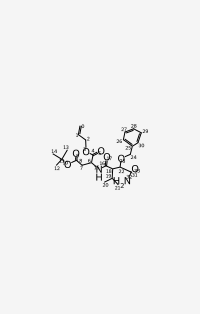 C=CCOC(=O)C(CC(=O)OC(C)(C)C)NC(=O)C(C(C)C)C(OCc1ccccc1)C(N)=O